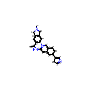 C=C(Nc1cc2cc(C3=CN=CC3)ccc2cn1)c1ccc2c(c1)CN(C)C2